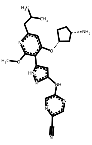 COc1nc(CC(C)C)cc(O[C@@H]2CC[C@H](N)C2)c1-c1cc(Nc2cnc(C#N)cn2)n[nH]1